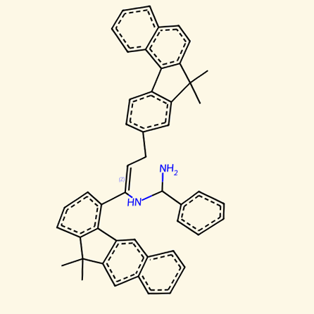 CC1(C)c2cc3ccccc3cc2-c2c(/C(=C/Cc3ccc4c(c3)C(C)(C)c3ccc5ccccc5c3-4)NC(N)c3ccccc3)cccc21